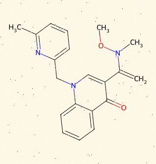 C=C(c1cn(Cc2cccc(C)n2)c2ccccc2c1=O)N(C)OC